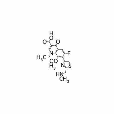 CCn1cc(C(=O)O)c(=O)c2cc(F)c(-c3csc(CNC)n3)c(OC)c21